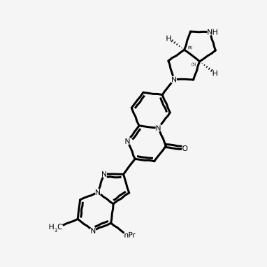 CCCc1nc(C)cn2nc(-c3cc(=O)n4cc(N5C[C@H]6CNC[C@H]6C5)ccc4n3)cc12